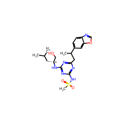 CC(C)C[C@H](CO)Nc1nc(CC(C)c2ccc3ncoc3c2)nc(NS(C)(=O)=O)n1